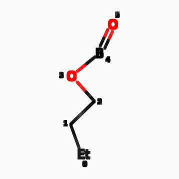 CCCCOB=O